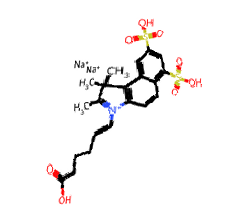 CC1=[N+](C=CCCCC(=O)O)c2ccc3c(S(=O)(=O)O)cc(S(=O)(=O)O)cc3c2C1(C)C.[Na+].[Na+]